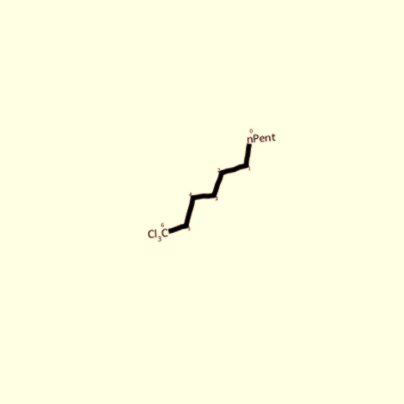 CCCCCCCCCCC(Cl)(Cl)Cl